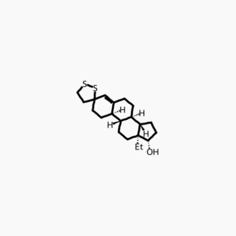 CC[C@]12CC[C@H]3[C@@H](CCC4=CC5(CCSS5)CC[C@@H]43)[C@@H]1CC[C@@H]2O